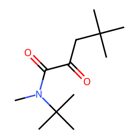 CN(C(=O)C(=O)CC(C)(C)C)C(C)(C)C